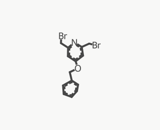 BrCc1cc(OCc2ccccc2)cc(CBr)n1